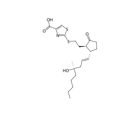 CCCCC[C@@](C)(O)C/C=C/[C@H]1CCC(=O)[C@@H]1CCSc1nc(C(=O)O)cs1